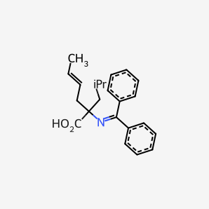 C/C=C/CC(CC(C)C)(N=C(c1ccccc1)c1ccccc1)C(=O)O